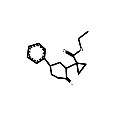 CCOC(=O)C1(C2CC(c3ccccc3)CCC2=O)CC1